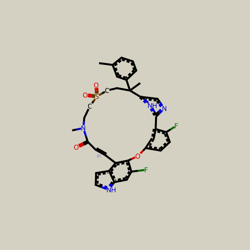 Cc1cccc(C2(C)CCS(=O)(=O)CCN(C)C(=O)/C=C/c3c(c(F)cc4[nH]ccc34)Oc3ccc(F)c(c3)-c3ncc2[nH]3)c1